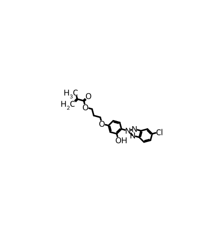 C=C(C)C(=O)OCCCOc1ccc(-n2n3c4ccc(Cl)cc4n23)c(O)c1